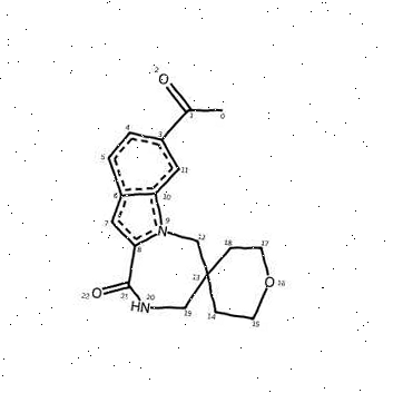 CC(=O)c1ccc2cc3n(c2c1)CC1(CCOCC1)CNC3=O